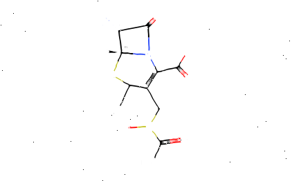 CC(=O)[S+]([O-])CC1=C(C(=O)O)N2C(=O)[C@@H](N)[C@H]2SC1C